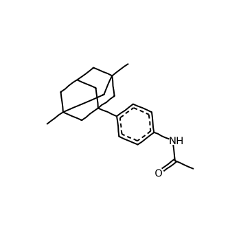 CC(=O)Nc1ccc(C23CC4CC(C)(CC(C)(C4)C2)C3)cc1